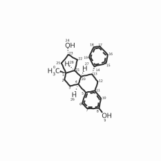 C[C@]12CC[C@@H]3c4ccc(O)cc4C[C@@H](c4ccccc4)[C@@H]3[C@@H]1C[C@@H](O)C2